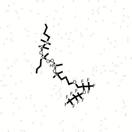 CCCC[Si](C)(OO[SiH](C)O[Si](C)(C)CCCOCC(F)(OC(F)(F)C(F)(F)C(F)(F)F)C(F)(F)F)O[Si](C)(C)[Si](C)(C)CCCC